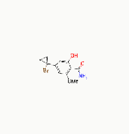 COc1cc(C2(Br)CC2)cc(O)c1C(N)=O